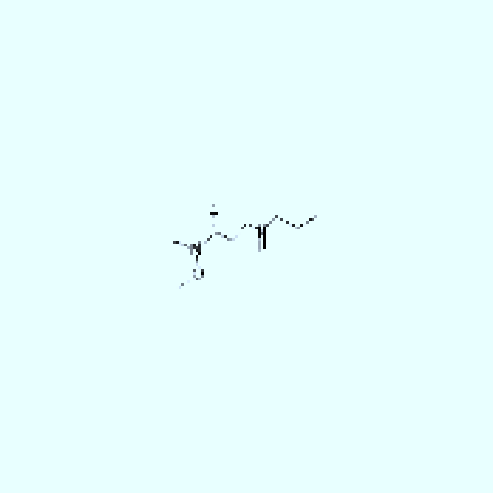 CCCNCCC(=O)N(C)OC